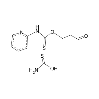 NC(O)=S.O=CCCOC(=S)Nc1ccccn1